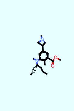 CCCC(CCC)N(C)c1cc(C2CN(C)C2)cc(C(=O)OC)c1C